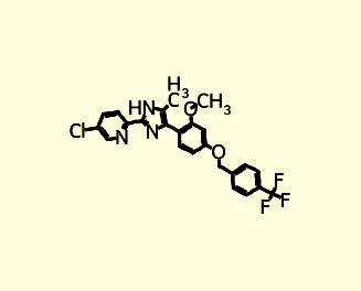 COc1cc(OCc2ccc(C(F)(F)F)cc2)ccc1-c1nc(-c2ccc(Cl)cn2)[nH]c1C